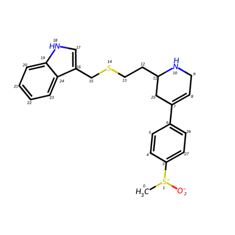 C[S+]([O-])c1ccc(C2=CCNC(CCSCc3c[nH]c4ccccc34)C2)cc1